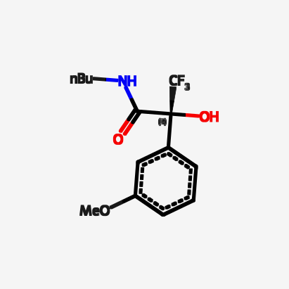 CCCCNC(=O)[C@](O)(c1cccc(OC)c1)C(F)(F)F